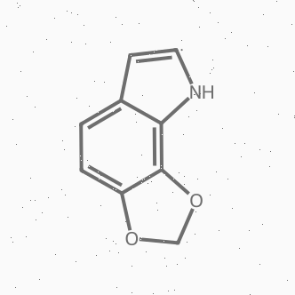 [c]1cc2ccc3c(c2[nH]1)OCO3